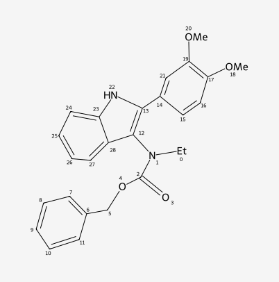 CCN(C(=O)OCc1ccccc1)c1c(-c2ccc(OC)c(OC)c2)[nH]c2ccccc12